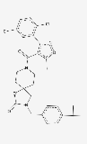 Cc1onc(-c2cc(Cl)ccc2Cl)c1C(=O)N1CCC2(CC1)CN(Cc1ccc(C(C)(C)C)cc1)C(=O)O2